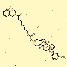 Cc1cncc(C2=CC[C@H]3[C@@H]4CC=C5C[C@@H](OC(=O)OCCSSCCC(=O)N(CC(=O)O)Cc6ccccc6)CC[C@]5(C)[C@H]4CC[C@]23C)c1